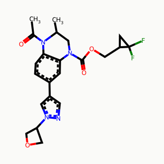 CC(=O)N1c2ccc(-c3cnn(C4COC4)c3)cc2N(C(=O)OCC2CC2(F)F)CC1C